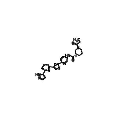 C=CC(=O)N1CCC[C@H](C(=O)Nc2ccc(-c3ncc(-c4cccc(-c5ccn[nH]5)n4)o3)nc2)C1